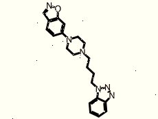 c1ccc2c(c1)nnn2CCCCN1CCN(c2ccc3cnoc3c2)CC1